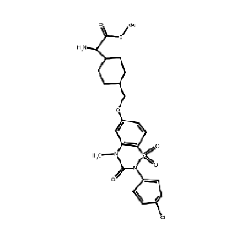 CN1C(=O)N(c2ccc(Cl)cc2)S(=O)(=O)c2ccc(OCC3CCC(C(N)C(=O)OC(C)(C)C)CC3)cc21